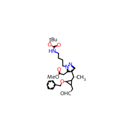 COC(=O)Cc1c([C@H](C)C2C(CC=O)C2OCc2ccccc2)cnn1CCCCNC(=O)OC(C)(C)C